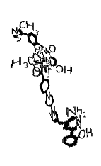 Cc1ncsc1-c1ccc(CNC(=O)[C@@H]2C[C@@H](O)CN2C(=O)[C@@H](NC(=O)C2CCC(N3CCC(n4cc(-c5cc(-c6ccccc6O)nnc5N)cn4)CC3)CC2)C(C)(C)C)cc1